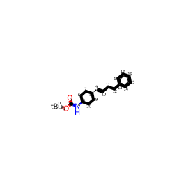 CC(C)(C)OC(=O)N[C@H]1CC[C@H](C=CCCc2ccccc2)CC1